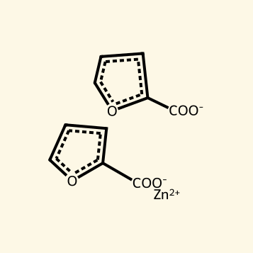 O=C([O-])c1ccco1.O=C([O-])c1ccco1.[Zn+2]